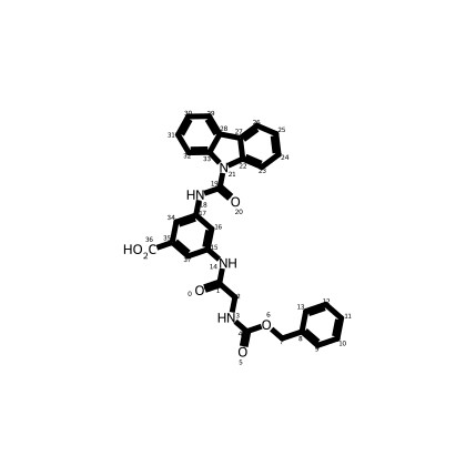 O=C(CNC(=O)OCc1ccccc1)Nc1cc(NC(=O)n2c3ccccc3c3ccccc32)cc(C(=O)O)c1